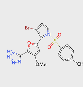 COc1cc(-c2c(Br)ccn2S(=O)(=O)c2ccc(C)cc2)oc1-c1nnn[nH]1